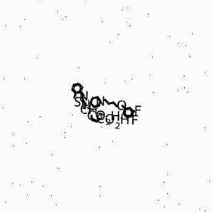 CN(C1=Nc2ccccc2CS1)C1CCN(CCCCOc2ccc(F)c(F)c2)CC1.O=C(O)/C=C\C(=O)O